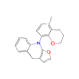 Cc1ccc(N2c3ccccc3Cc3ccoc32)c2c1CCCO2